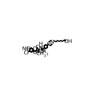 CC1(C)C(NC(=O)c2ccc(N3CCN(CCCCCCCO)CC3)cc2)C(C)(C)C1Oc1ccc(C#N)c(Cl)c1